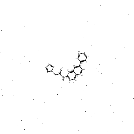 O=C(Cn1ccnc1)Nc1ncc2ccc(-c3cccnc3)cc2n1